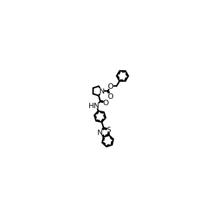 O=C(Nc1ccc(-c2nc3ccccc3s2)cc1)C1CCCN1C(=O)OCc1ccccc1